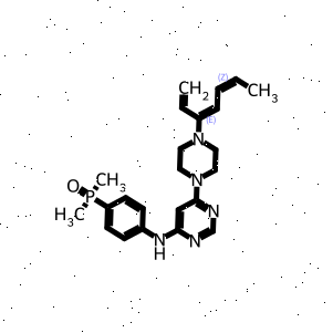 C=C/C(=C\C=C/C)N1CCN(c2cc(Nc3ccc(P(C)(C)=O)cc3)ncn2)CC1